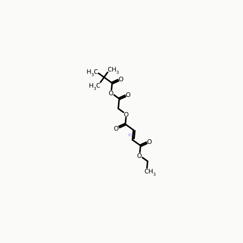 CCOC(=O)/C=C/C(=O)OCC(=O)OC(=O)C(C)(C)C